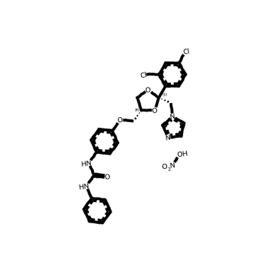 O=C(Nc1ccccc1)Nc1ccc(OC[C@@H]2CO[C@@](Cn3ccnc3)(c3ccc(Cl)cc3Cl)O2)cc1.O=[N+]([O-])O